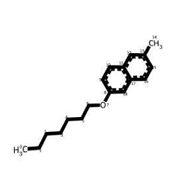 CCCCCCCOc1ccc2cc(C)ccc2c1